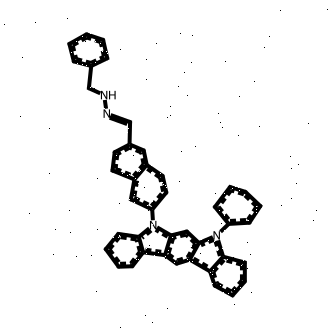 C(=N\NCc1ccccc1)/c1ccc2cc(-n3c4ccccc4c4cc5c6ccccc6n(-c6ccccc6)c5cc43)ccc2c1